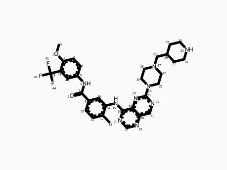 COc1ccc(NC(=O)c2ccc(C)c(Nc3ncnc4cnc(N5CCN(CC6CCNCC6)CC5)nc34)c2)cc1C(F)(F)F